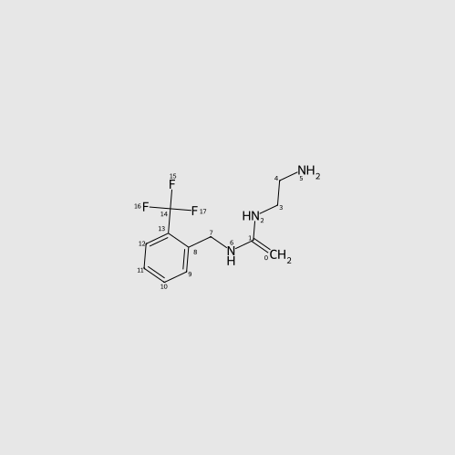 C=C(NCCN)NCc1ccccc1C(F)(F)F